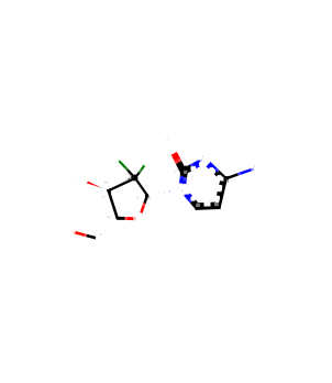 Nc1ccn([C@@H]2O[C@H](C[O])[C@@H](O)C2(F)F)c(=O)n1